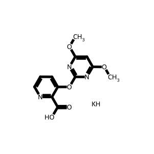 COc1cc(OC)nc(Oc2cccnc2C(=O)O)n1.[KH]